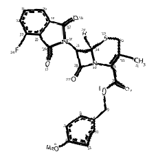 COc1ccc(COC(=O)C2=C(C)CS[C@H]3C(N4C(=O)c5cccc(F)c5C4=O)C(=O)N23)cc1